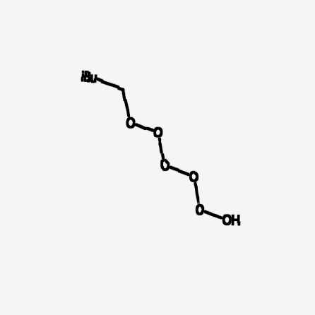 CCC(C)COOOOOO